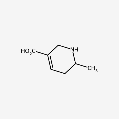 CC1CC=C(C(=O)O)CN1